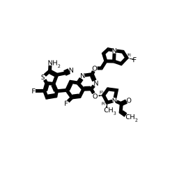 C=CC(=O)N1CC[C@@H](Oc2nc(OCC3CCN4C[C@H](F)CC34)nc3cc(-c4ccc(F)c5sc(N)c(C#N)c45)c(F)cc23)[C@H]1C